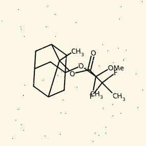 COC(C)OC12CC3CC(C1)C(C)(OC(=O)C(C)(F)F)C(C3)C2